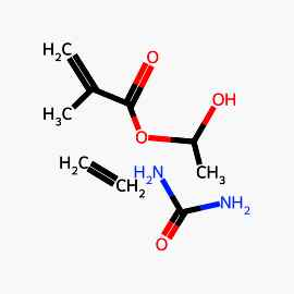 C=C.C=C(C)C(=O)OC(C)O.NC(N)=O